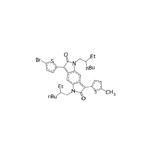 CCCCC(CC)CN1C(=O)C(c2ccc(C)s2)=c2cc3c(cc21)=C(c1ccc(Br)s1)C(=O)N3CC(CC)CCCC